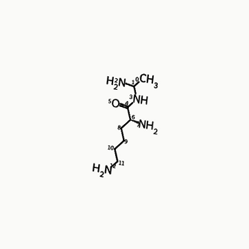 CC(N)NC(=O)[C@@H](N)CCCCN